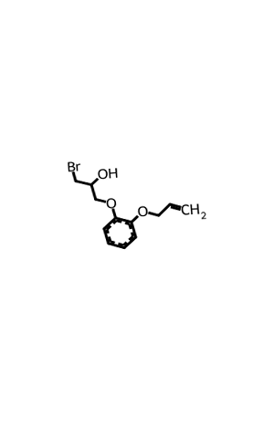 C=CCOc1ccccc1OCC(O)CBr